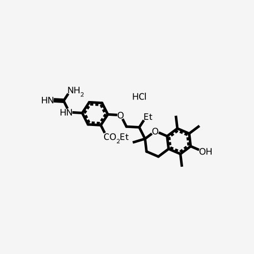 CCOC(=O)c1cc(NC(=N)N)ccc1OCC(CC)C1(C)CCc2c(C)c(O)c(C)c(C)c2O1.Cl